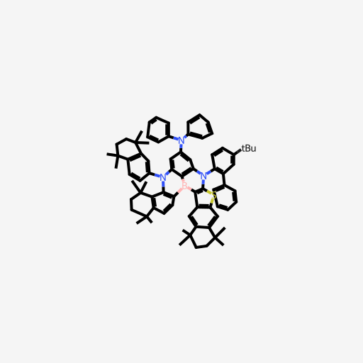 CC(C)(C)c1ccc(N2c3cc(N(c4ccccc4)c4ccccc4)cc4c3B(c3ccc5c(c3N4c3ccc4c(c3)C(C)(C)CCC4(C)C)C(C)(C)CCC5(C)C)c3c2sc2cc4c(cc32)C(C)(C)CCC4(C)C)c(-c2ccccc2)c1